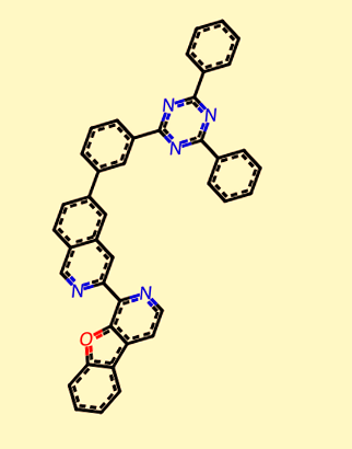 c1ccc(-c2nc(-c3ccccc3)nc(-c3cccc(-c4ccc5cnc(-c6nccc7c6oc6ccccc67)cc5c4)c3)n2)cc1